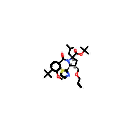 C=CCOC[C@H]1C[C@@](CC(C)C)(C(=O)OC(C)(C)C)N(C(=O)c2ccc(C(C)(C)C)c(OC)c2)[C@H]1c1nccs1